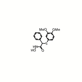 COc1ccc(SC(C(=O)NO)c2ccccc2)cc1OC